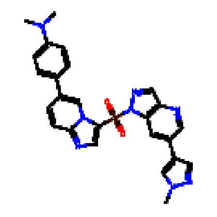 CN(C)c1ccc(-c2ccc3ncc(S(=O)(=O)n4ncc5ncc(-c6cnn(C)c6)cc54)n3c2)cc1